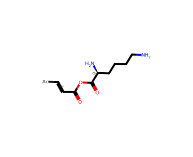 CC(=O)/C=C/C(=O)OC(=O)[C@@H](N)CCCCN